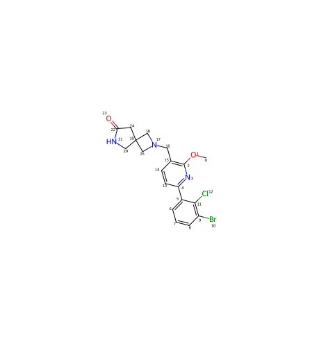 COc1nc(-c2cccc(Br)c2Cl)ccc1CN1CC2(CNC(=O)C2)C1